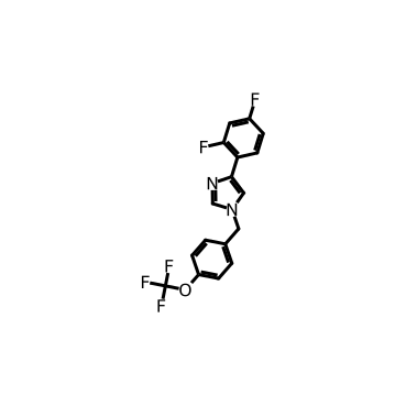 Fc1ccc(-c2cn(Cc3ccc(OC(F)(F)F)cc3)cn2)c(F)c1